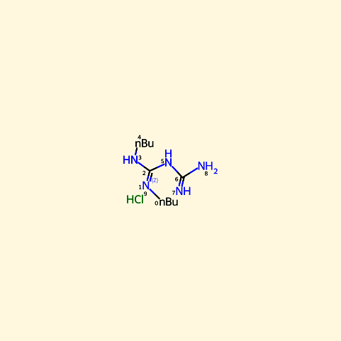 CCCC/N=C(/NCCCC)NC(=N)N.Cl